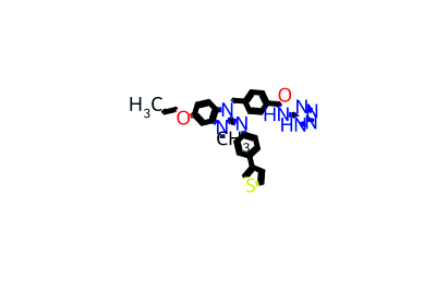 CCCOc1ccc2c(c1)n(C)c(=Nc1ccc(-c3ccsc3)cc1)n2Cc1ccc(C(=O)Nc2nnn[nH]2)cc1